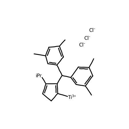 Cc1cc(C)cc(C(C2=[C]([Ti+3])CC=C2C(C)C)c2cc(C)cc(C)c2)c1.[Cl-].[Cl-].[Cl-]